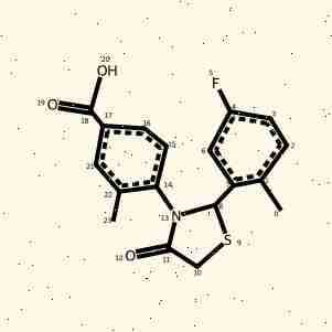 Cc1ccc(F)cc1C1SCC(=O)N1c1ccc(C(=O)O)cc1C